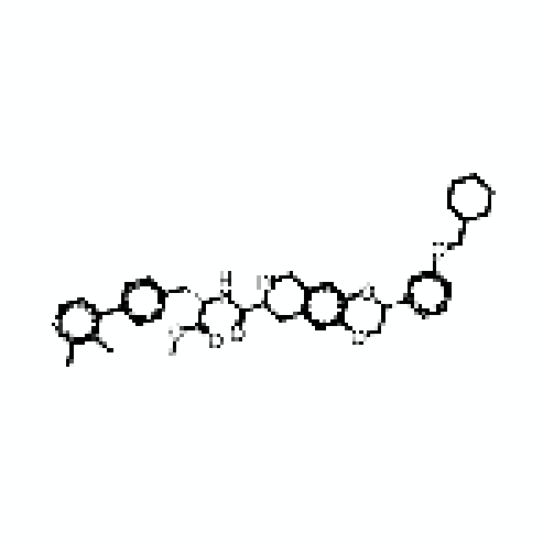 COC(=O)[C@H](Cc1ccc(-c2ccnc(C)c2C)cc1)NC(=O)[C@@H]1Cc2cc3c(cc2CN1)O[C@@H](c1cccc(OCC2CCCCC2)c1)CO3